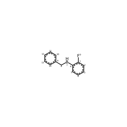 Fc1ccccc1BCc1ccccc1